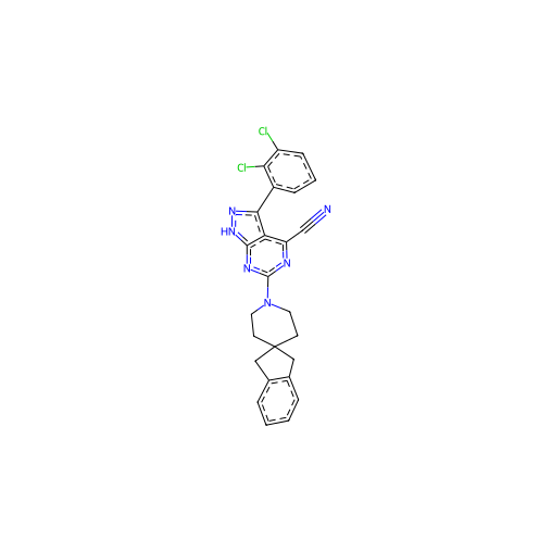 N#Cc1nc(N2CCC3(CC2)Cc2ccccc2C3)nc2[nH]nc(-c3cccc(Cl)c3Cl)c12